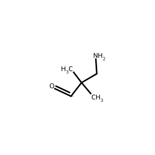 CC(C)([C]=O)CN